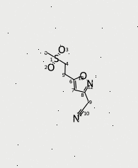 CS(=O)(=O)CCc1cc(CC#N)no1